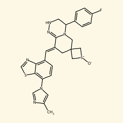 Cc1cn(-c2ccc(/C=C3\CC4(CN5C3=NNCC5c3ccc(F)cc3)C[S+]([O-])C4)c3ncsc23)cn1